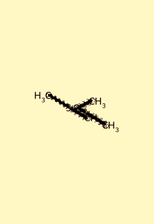 CCCCCCCCCCSCCC(CCCCCC)OC(CCCCCC)CCSCCCCCCCCCC